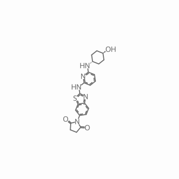 O=C1CCC(=O)N1c1ccc2nc(Nc3cccc(N[C@H]4CC[C@H](O)CC4)n3)sc2c1